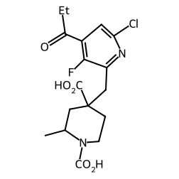 CCC(=O)c1cc(Cl)nc(CC2(C(=O)O)CCN(C(=O)O)C(C)C2)c1F